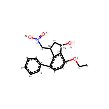 CCOc1ccc(-c2ccccc2)c2c1B(O)CC2C[N+](=O)[O-]